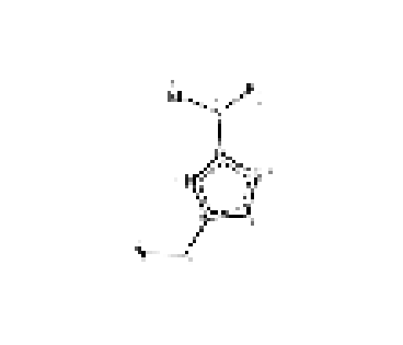 CCN(CC)c1nc(CC(C)C)cs1